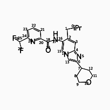 CC(C)Cc1cc2nc(C3CCOCC3)cn2cc1NC(=O)c1cccc(C(F)F)n1